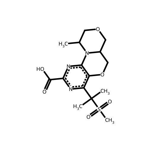 CC1COCC2COc3c(nc(C(=O)O)nc3C(C)(C)S(C)(=O)=O)N12